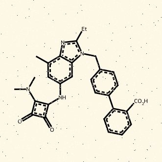 CCc1nc2c(C)cc(Nc3c(N(C)C)c(=O)c3=O)cc2n1Cc1ccc(-c2ccccc2C(=O)O)cc1